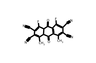 CC1=C(C#N)C(C#N)=C(F)C2C(=O)c3c(F)c(C#N)c(C#N)c(C)c3C(=O)C12